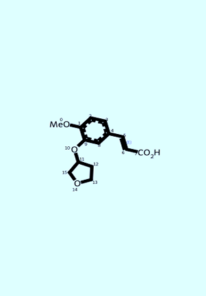 COc1ccc(/C=C/C(=O)O)cc1OC1CCOC1